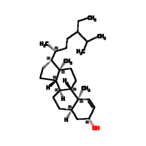 CCC(CC[C@@H](C)[C@H]1CC[C@H]2[C@@H]3CC[C@@H]4C[C@@H](O)C=C[C@]4(C)[C@H]3CC[C@]12C)C(C)C